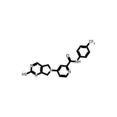 O=C(Nc1ccc(C(F)(F)F)cc1)c1cc(N2Cc3cnc(S)nc3C2)ccn1